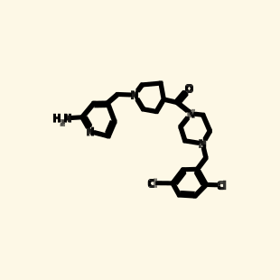 Nc1cc(CN2CCC(C(=O)N3CCN(Cc4cc(Cl)ccc4Cl)CC3)CC2)ccn1